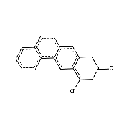 O=C1C=c2cc3ccc4ccccc4c3cc2=C(Cl)C1